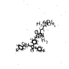 C[N+](C)(C)CCCCC(N)C(=O)NCc1ccc(C2C(CCC(O)c3ccc(F)cc3)C(=O)N2c2ccc(F)cc2)cc1